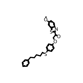 COc1ccc2nc(C(=O)COc3ccc(SCCCCCc4ccccc4)cc3)sc2c1